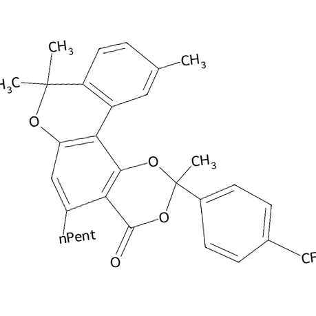 CCCCCc1cc2c(c3c1C(=O)OC(C)(c1ccc(C(F)(F)F)cc1)O3)-c1cc(C)ccc1C(C)(C)O2